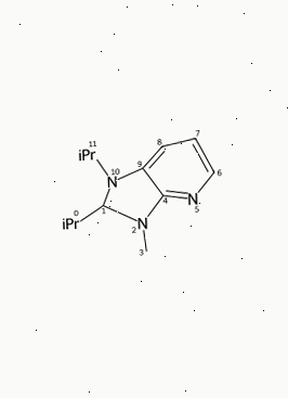 CC(C)C1N(C)c2ncccc2N1C(C)C